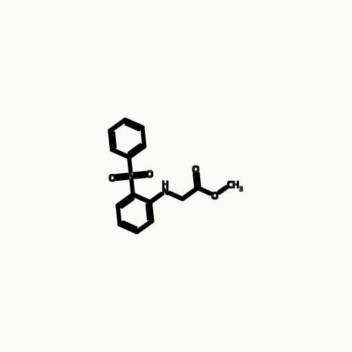 COC(=O)CNc1ccccc1S(=O)(=O)c1ccccc1